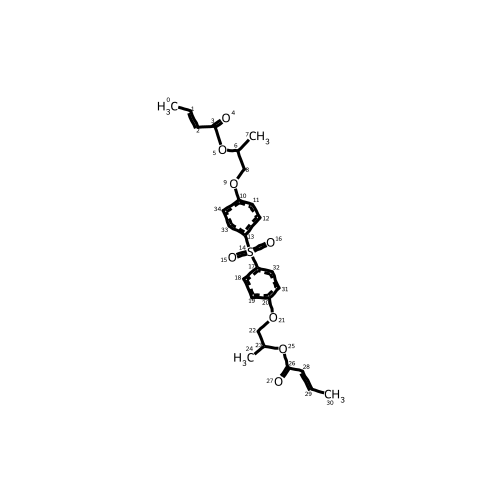 CC=CC(=O)OC(C)COc1ccc(S(=O)(=O)c2ccc(OCC(C)OC(=O)C=CC)cc2)cc1